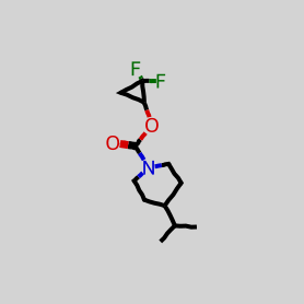 CC(C)C1CCN(C(=O)OC2CC2(F)F)CC1